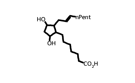 CCCCCC=CCC1C(O)CC(O)C1CCCCCCC(=O)O